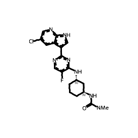 CNC(=O)N[C@H]1CCC[C@H](Nc2nc(-c3c[nH]c4ncc(Cl)cc34)ncc2F)C1